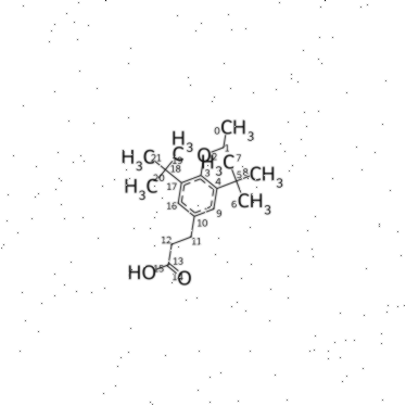 CCOc1c(C(C)(C)C)cc(CCC(=O)O)cc1C(C)(C)C